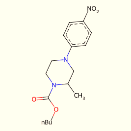 CCCCOC(=O)N1CCN(c2ccc([N+](=O)[O-])cc2)CC1C